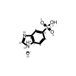 O=S(=O)(O)c1ccc2c(c1)N=C[NH+]2[O-]